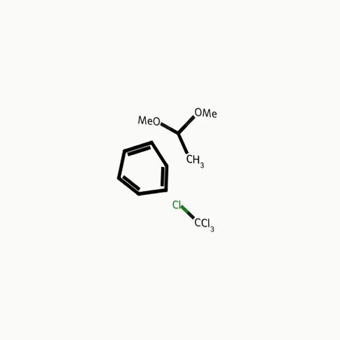 COC(C)OC.ClC(Cl)(Cl)Cl.c1ccccc1